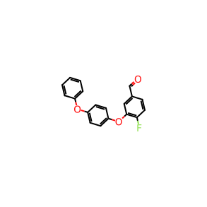 O=Cc1ccc(F)c(Oc2ccc(Oc3ccccc3)cc2)c1